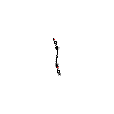 CN(C)c1ccc(/C=C/c2cc[n+](CCCCCCSSCCCCCC[n+]3ccc(CCc4ccc(N(C)C)cc4)cc3)cc2)cc1